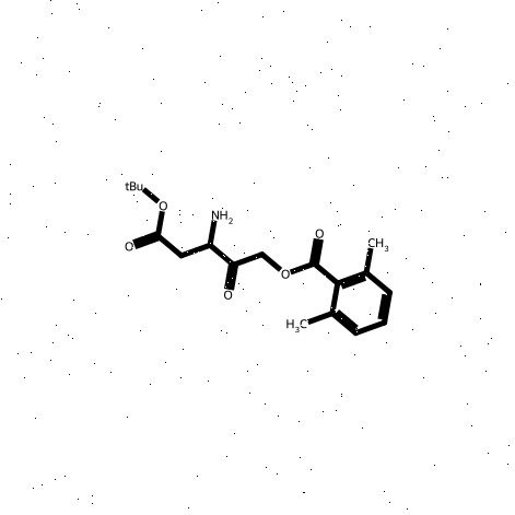 Cc1cccc(C)c1C(=O)OCC(=O)C(N)CC(=O)OC(C)(C)C